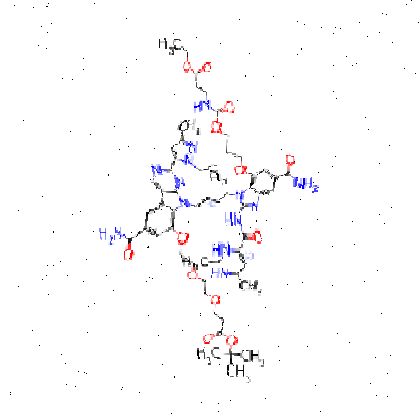 CCN/C(=C\C(C)=N)C(=O)Nc1nc2cc(C(N)=O)cc(OCCCOC(=O)NCCC(=O)OCC)c2n1C/C=C/Cn1c2nc(-c3cc(C)nn3CC)ncc2c2cc(C(N)=O)cc(OCCOCCOCCC(=O)OC(C)(C)C)c21